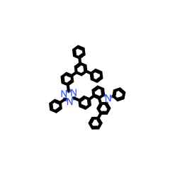 C1=C(c2ccccc2)C=C(c2ccccc2)CC1c1cccc(-c2nc(-c3ccccc3)nc(-c3cccc(-c4cccc5c4c4cc(-c6ccccc6)ccc4n5-c4ccccc4)c3)n2)c1